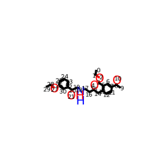 CCOC(=O)c1cc(C(C)=O)ccc1CCCCNCC(O)c1cccc(OCC)c1